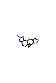 Cn1cc2c(n1)[C@@]1(C)Cc3cnoc3C3(C)C[C@]31CC2